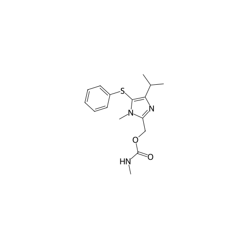 CNC(=O)OCc1nc(C(C)C)c(Sc2ccccc2)n1C